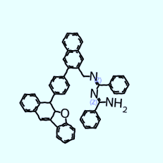 N/C(=N\C(=N/Cc1cc2ccccc2cc1-c1ccc(C2c3ccccc3C=C3c4ccccc4OC32)cc1)c1ccccc1)c1ccccc1